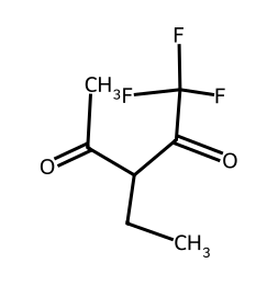 CCC(C(C)=O)C(=O)C(F)(F)F